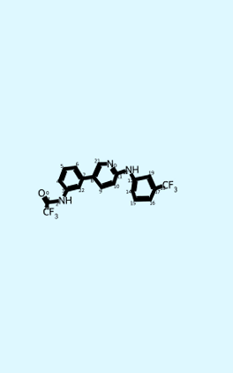 O=C(Nc1cccc(-c2ccc(Nc3cccc(C(F)(F)F)c3)nc2)c1)C(F)(F)F